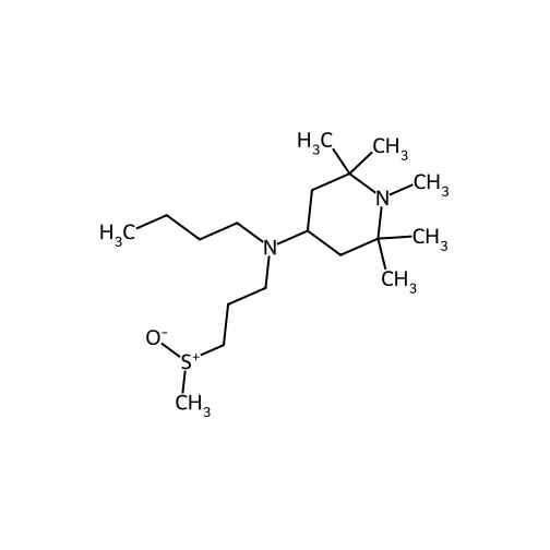 CCCCN(CCC[S+](C)[O-])C1CC(C)(C)N(C)C(C)(C)C1